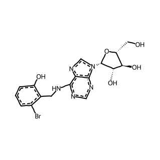 OC[C@H]1O[C@@H](n2cnc3c(NCc4c(O)cccc4Br)ncnc32)[C@@H](O)[C@@H]1O